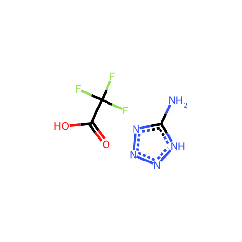 Nc1nnn[nH]1.O=C(O)C(F)(F)F